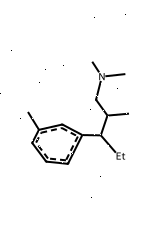 CCC(c1cccc(C)c1)C(C)CN(C)C